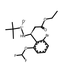 CCOC(=O)C[C@H](N[S@@+]([O-])C(C)(C)C)c1c(Br)cccc1OC(F)F